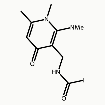 CNc1c(CNC(=O)I)c(=O)cc(C)n1C